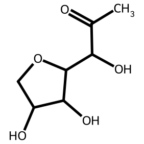 CC(=O)C(O)C1OCC(O)C1O